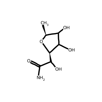 C[C@@H]1O[C@H](C(O)C(N)=O)C(O)C1O